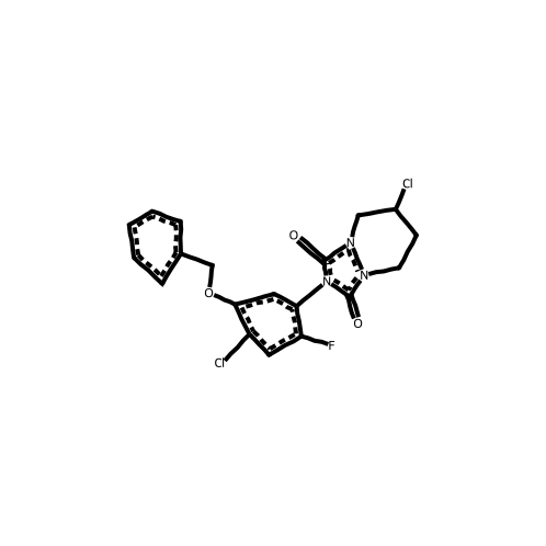 O=c1n(-c2cc(OCc3ccccc3)c(Cl)cc2F)c(=O)n2n1CCC(Cl)C2